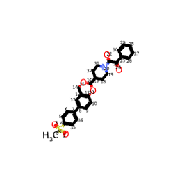 CS(=O)(=O)c1ccc(-c2ccc3c(c2)COC(C2CCN(C(=O)C(=O)c4ccccc4)CC2)O3)cc1